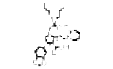 CCCON(CCC)C(=O)CN1C[C@H](c2ccc3c(c2)OCO3)[C@@H](C(=O)O)[C@@H]1CCn1ccccc1=O